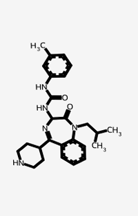 Cc1cccc(NC(=O)NC2N=C(C3CCNCC3)c3ccccc3N(CC(C)C)C2=O)c1